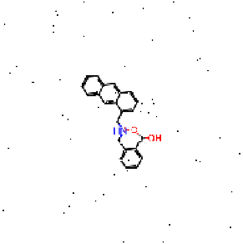 OB(O)c1ccccc1CNCc1cccc2cc3ccccc3cc12